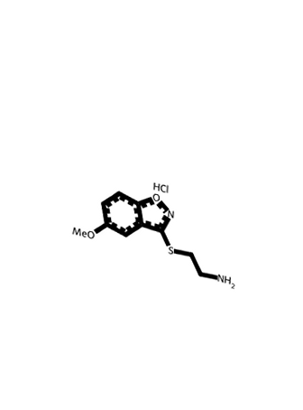 COc1ccc2onc(SCCN)c2c1.Cl